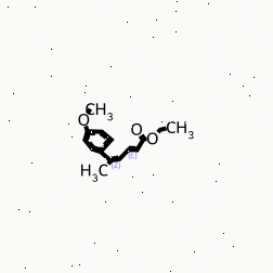 CCOC(=O)/C=C/C=C(/C)c1ccc(OC)cc1